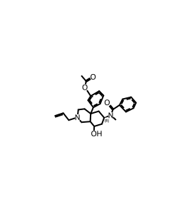 C=CCN1CCC2(c3cccc(OC(C)=O)c3)C[C@@H](N(C)C(=O)c3ccccc3)CC(O)C2C1